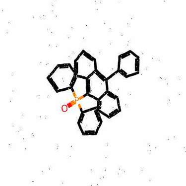 O=P(c1ccccc1)(c1ccccc1)c1c2ccccc2c(-c2ccccc2)c2ccccc12